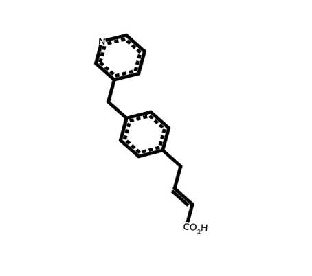 O=C(O)/C=C/Cc1ccc(Cc2cccnc2)cc1